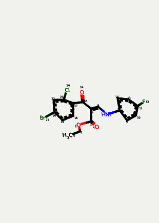 CCOC(=O)C(=CNc1ccc(F)cc1)C(=O)c1ccc(Br)cc1Cl